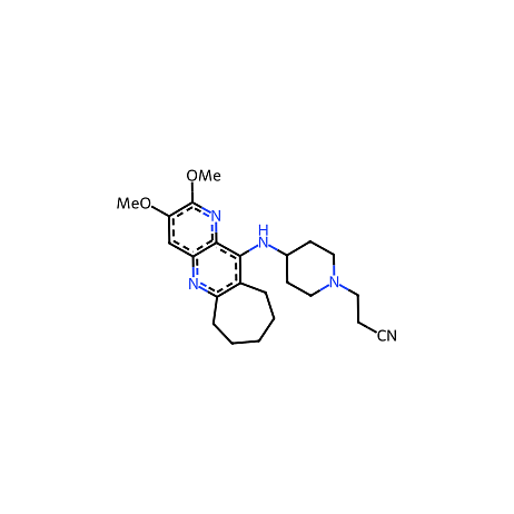 COc1cc2nc3c(c(NC4CCN(CCC#N)CC4)c2nc1OC)CCCCC3